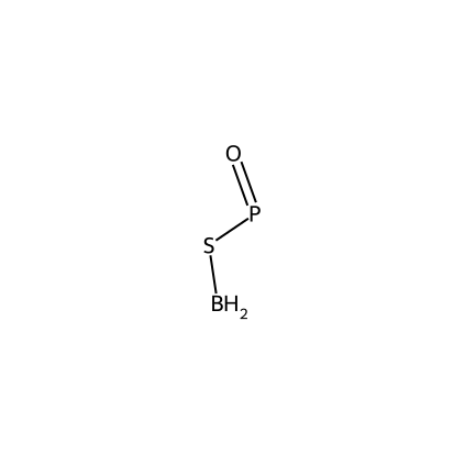 BSP=O